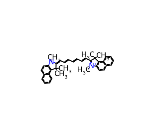 CN1/C(=C/C=C/C=C/C=C/C2=[N+](C)c3ccc4ccccc4c3C2(C)C)C(C)(C)c2c1ccc1ccccc21